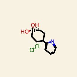 [Cl-].[Cl-].[OH][Ti+2]1([OH])[CH2]CC(c2ccccn2)C[CH2]1